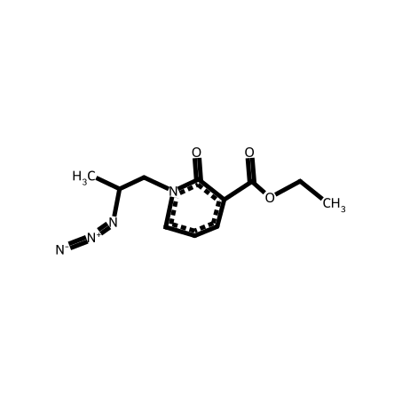 CCOC(=O)c1cccn(CC(C)N=[N+]=[N-])c1=O